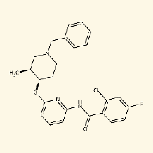 C[C@H]1CN(Cc2ccccc2)CC[C@H]1Oc1cccc(NC(=O)c2ccc(F)cc2Cl)n1